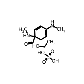 CCO.CNC1=CCC(C=O)(NC)C=C1.O=S(=O)(O)O